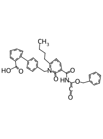 CCCCc1ccc(C(=O)NC(=C=O)OCc2ccccc2)c(=O)n1Cc1ccc(-c2ccccc2C(=O)O)cc1